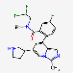 Cc1ncc2c(-c3ccc(F)cc3C(=O)N(CC(F)F)C(C)C)cc(C3CCNC3)cn12